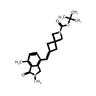 Cc1ccc(C=C2CC3(C2)CN(C(=O)OC(C)(C)C)C3)c2c1C(=O)N(C)C2